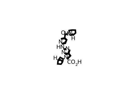 O=C(O)c1cc2cnc(Nc3ccc(C(=O)N4CC5CC[C@@H](C4)N5)cn3)nc2n1[C@H]1C[C@@H]2CCC1C2